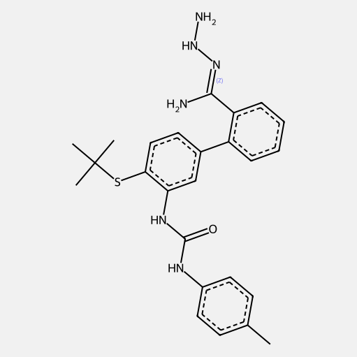 Cc1ccc(NC(=O)Nc2cc(-c3ccccc3/C(N)=N/NN)ccc2SC(C)(C)C)cc1